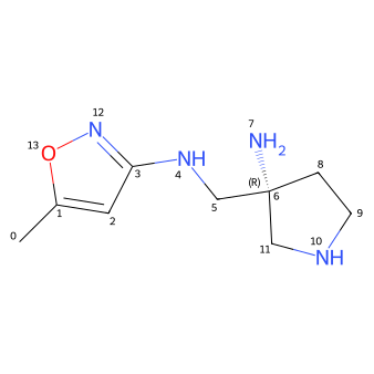 Cc1cc(NC[C@@]2(N)CCNC2)no1